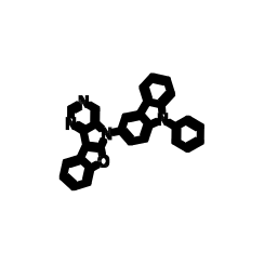 c1ccc(-n2c3ccccc3c3cc(-n4c5cncnc5c5c6ccccc6oc54)ccc32)cc1